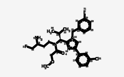 COCC(=O)N(CCC(N)CF)[C@@H](c1nc(-c2cccc(Cl)c2)cn1Cc1cccc(F)c1)C(C)C